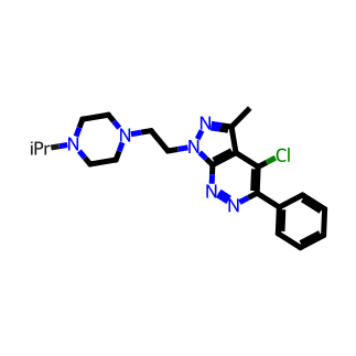 Cc1nn(CCN2CCN(C(C)C)CC2)c2nnc(-c3ccccc3)c(Cl)c12